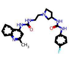 Cc1cc(NC(=O)NCCN2CCC(NC(=O)Nc3ccc(F)cc3)C2)c2ccccc2n1